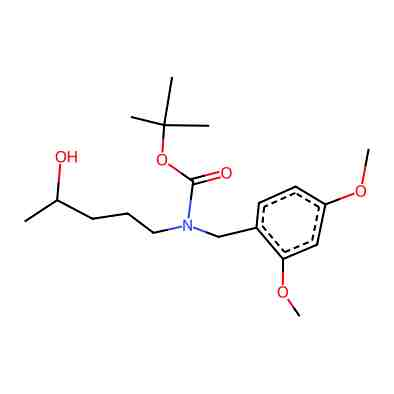 COc1ccc(CN(CCCC(C)O)C(=O)OC(C)(C)C)c(OC)c1